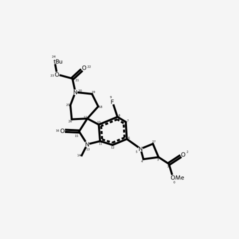 COC(=O)C1CN(c2cc(F)c3c(c2)N(C)C(=O)C32CCN(C(=O)OC(C)(C)C)CC2)C1